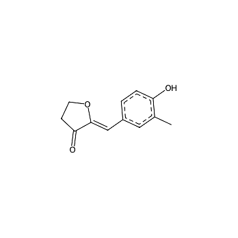 Cc1cc(/C=C2\OCCC2=O)ccc1O